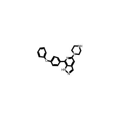 c1ccc(Oc2ccc(-c3nc(N4CCNCC4)cc4cn[nH]c34)cc2)cc1